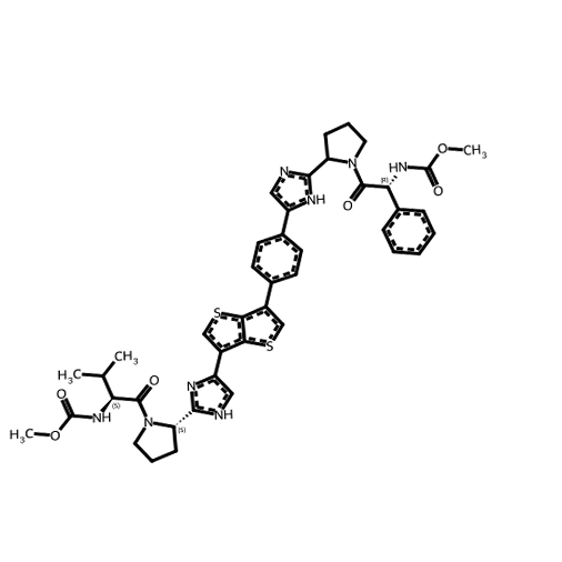 COC(=O)N[C@H](C(=O)N1CCC[C@H]1c1nc(-c2csc3c(-c4ccc(-c5cnc(C6CCCN6C(=O)[C@H](NC(=O)OC)c6ccccc6)[nH]5)cc4)csc23)c[nH]1)C(C)C